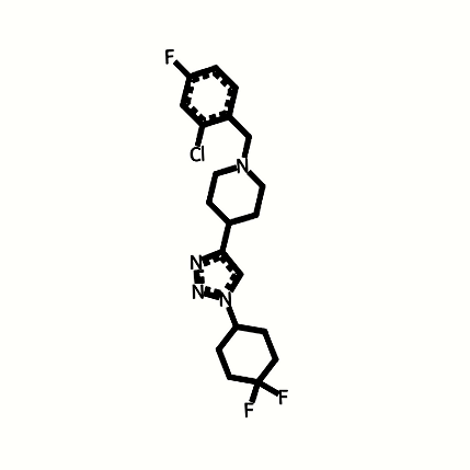 Fc1ccc(CN2CCC(c3cn(C4CCC(F)(F)CC4)nn3)CC2)c(Cl)c1